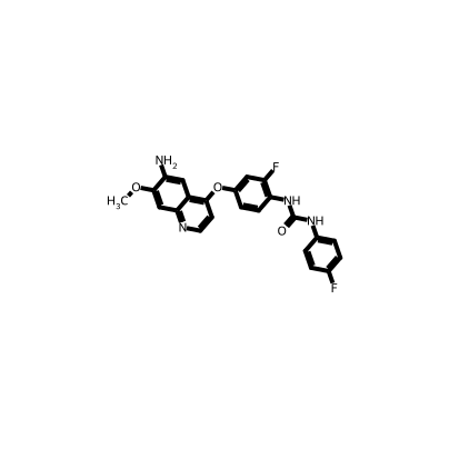 COc1cc2nccc(Oc3ccc(NC(=O)Nc4ccc(F)cc4)c(F)c3)c2cc1N